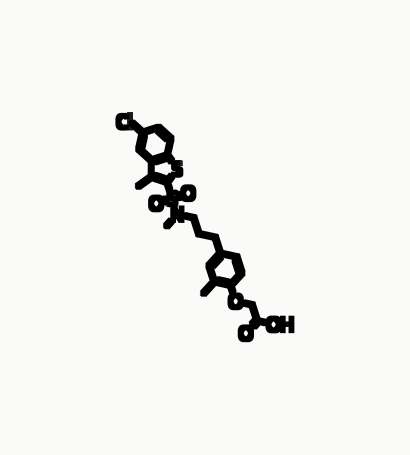 Cc1cc(CCCN(C)S(=O)(=O)c2sc3ccc(Cl)cc3c2C)ccc1OCC(=O)O